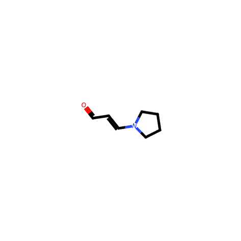 O=CC=CN1CCCC1